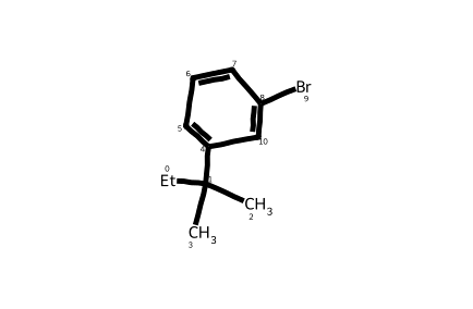 CCC(C)(C)c1cccc(Br)c1